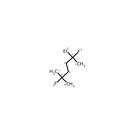 CCC(C)(F)CCC(C)(C)F